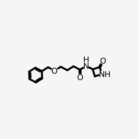 O=C(CCCOCc1ccccc1)NC1CNC1=O